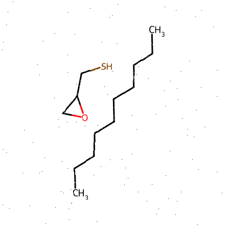 CCCCCCCCCC.SCC1CO1